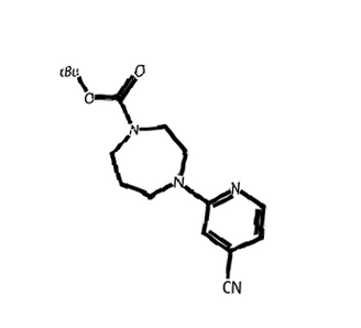 CC(C)(C)OC(=O)N1CCCN(c2cc(C#N)ccn2)CC1